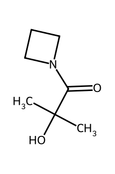 CC(C)(O)C(=O)N1CCC1